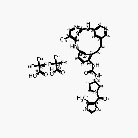 Cc1ncoc1C(=O)N1CC[C@H](NC(=O)Nc2ccc3cc2CCc2cncc(c2)Nc2ncc(Cl)c(n2)N3)C1.O=C(O)C(F)(F)F.O=C(O)C(F)(F)F